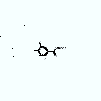 CCOC(=O)OC(=N)c1ccc(C)c(Cl)c1.Cl